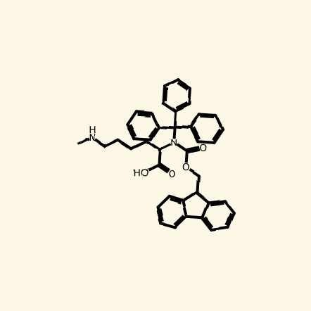 CNCCCCC(C(=O)O)N(C(=O)OCC1c2ccccc2-c2ccccc21)C(c1ccccc1)(c1ccccc1)c1ccccc1